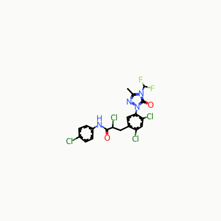 Cc1nn(-c2cc(CC(Cl)C(=O)Nc3ccc(Cl)cc3)c(Cl)cc2Cl)c(=O)n1C(F)F